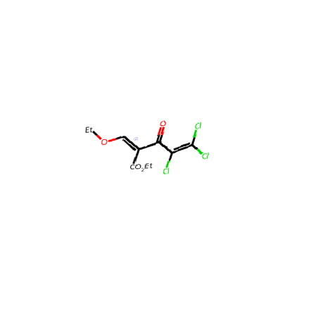 CCO/C=C(\C(=O)OCC)C(=O)C(Cl)=C(Cl)Cl